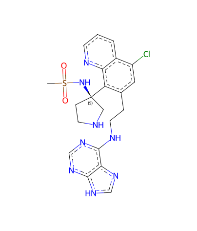 CS(=O)(=O)N[C@]1(c2c(CCNc3ncnc4[nH]cnc34)cc(Cl)c3cccnc23)CCNC1